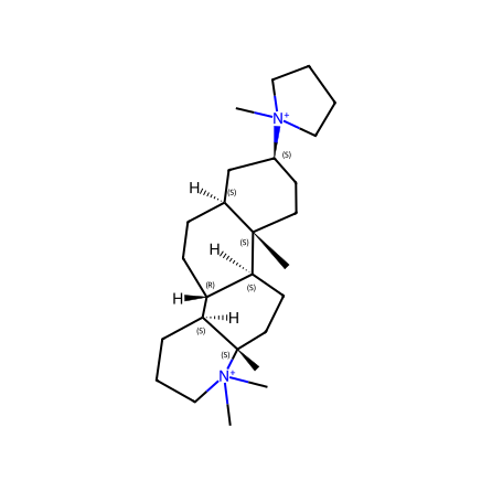 C[C@]12CC[C@H]([N+]3(C)CCCC3)C[C@@H]1CC[C@@H]1[C@@H]2CC[C@@]2(C)[C@H]1CCC[N+]2(C)C